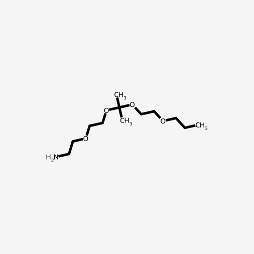 CCCOCCOC(C)(C)OCCOCCN